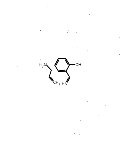 C=C[CH2][AlH2].N=Cc1ccccc1O